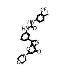 Cc1ccc(NC(=O)Nc2cccc(-c3csc4c(=O)cc(N5CCOCC5)oc34)c2)cc1C(F)(F)F